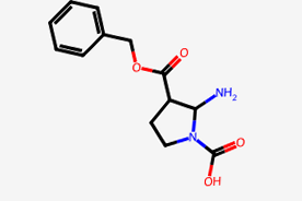 NC1C(C(=O)OCc2ccccc2)CCN1C(=O)O